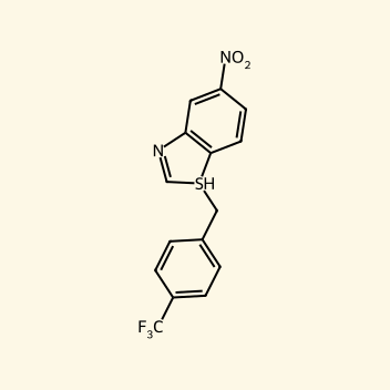 O=[N+]([O-])c1ccc2c(c1)N=C[SH]2Cc1ccc(C(F)(F)F)cc1